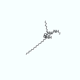 CCCCCCCCCCCCCCCCCC(=O)NC(CCCCN)C(=O)NCCCCCCCC